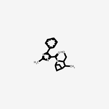 Cc1nc(C(=O)N2C3CC(C3)C(C)C2CO)c(-c2ccccc2)s1